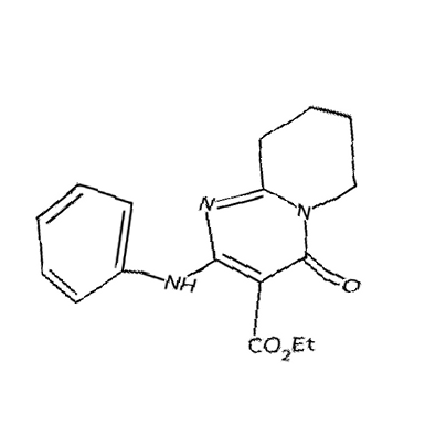 CCOC(=O)c1c(Nc2ccccc2)nc2n(c1=O)CCCC2